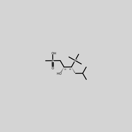 CC(C)C[C@H]([C@H](O)CP(C)(=O)O)[N+](C)(C)C